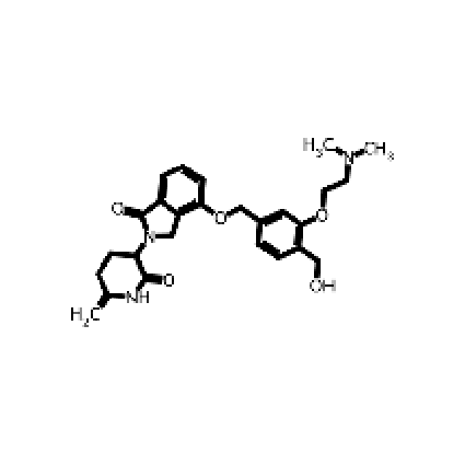 C=C1CCC(N2Cc3c(OCc4ccc(CO)c(OCCN(C)C)c4)cccc3C2=O)C(=O)N1